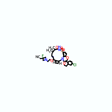 C[C@H]1C/C=C/[C@H](OCCN2CC(F)(CC#N)C2)[C@@H]2CC[C@H]2CN2C[C@]3(COc4ccc(cc42)S(=O)(=O)NC(=O)[C@@H]1C)OCCc1cc(Cl)ccc13